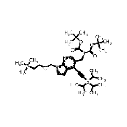 CC(C)[Si](C#Cc1c(CN(C(=O)OC(C)(C)C)C(=O)OC(C)(C)C)cnc2c1ccn2COCC[Si](C)(C)C)(C(C)C)C(C)C